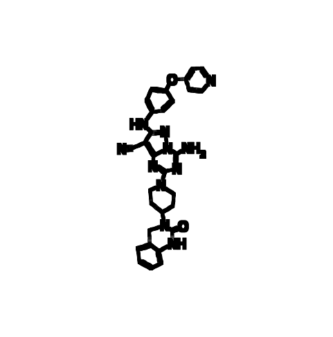 N#Cc1c(Nc2ccc(Oc3ccncc3)cc2)nn2c(N)nc(N3CCC(N4Cc5ccccc5NC4=O)CC3)nc12